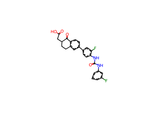 O=C(O)CC1CCc2cc(-c3ccc(NC(=O)Nc4cccc(F)c4)c(F)c3)ccc2C1=O